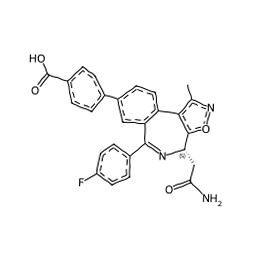 Cc1noc2c1-c1ccc(-c3ccc(C(=O)O)cc3)cc1C(c1ccc(F)cc1)=N[C@H]2CC(N)=O